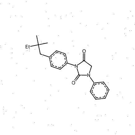 CCC(C)(C)Cc1ccc(N2C(=O)CN(c3ccccc3)C2=O)cc1